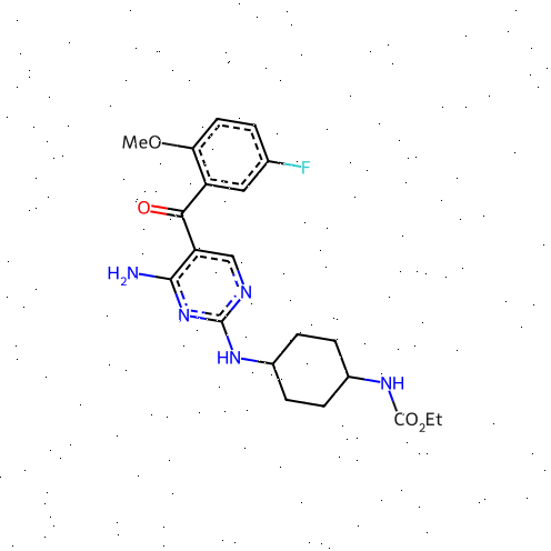 CCOC(=O)NC1CCC(Nc2ncc(C(=O)c3cc(F)ccc3OC)c(N)n2)CC1